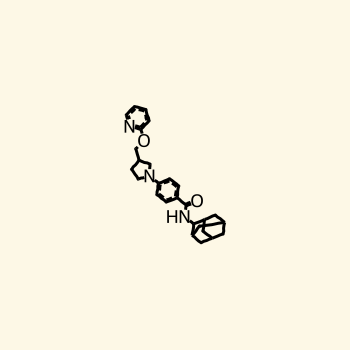 O=C(NC1C2CC3CC(C2)CC1C3)c1ccc(N2CCC(COc3ccccn3)C2)cc1